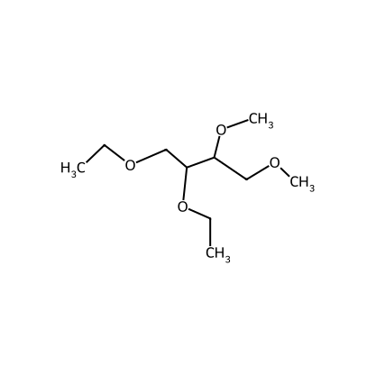 CCOCC(OCC)C(COC)OC